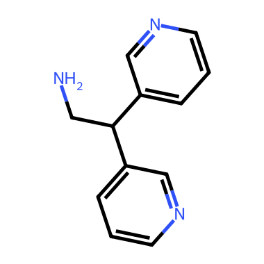 NCC(c1cccnc1)c1cccnc1